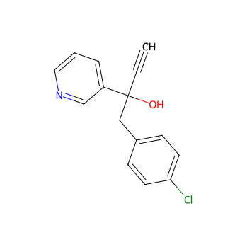 C#CC(O)(Cc1ccc(Cl)cc1)c1cccnc1